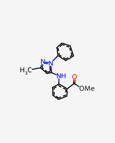 COC(=O)c1ccccc1Nc1cc(C)nn1-c1ccccc1